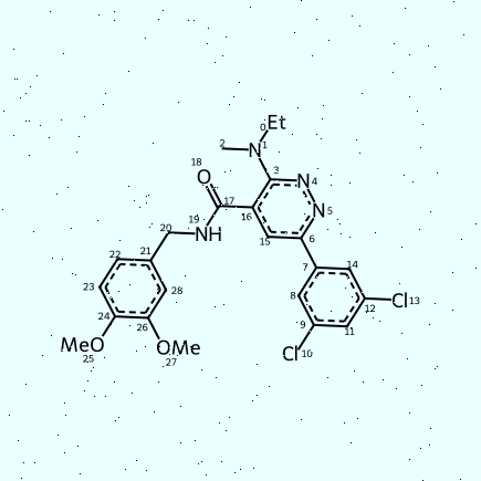 CCN(C)c1nnc(-c2cc(Cl)cc(Cl)c2)cc1C(=O)NCc1ccc(OC)c(OC)c1